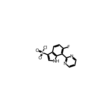 O=S(=O)(Cl)c1c[nH]c2c(-c3ncccn3)c(F)ccc12